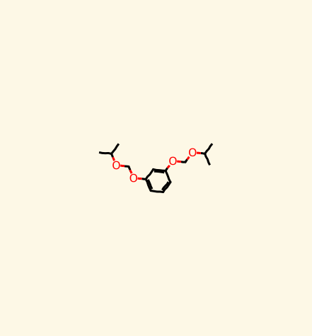 CC(C)OCOc1cccc(OCOC(C)C)c1